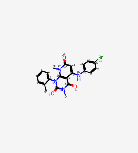 Cc1ccccc1-n1c(=O)n(C)c(=O)c2c(Nc3ccc(Br)cc3)cc(=O)n(C)c21